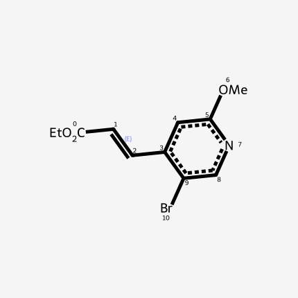 CCOC(=O)/C=C/c1cc(OC)ncc1Br